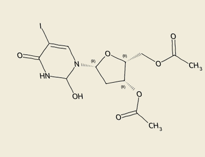 CC(=O)OC[C@H]1O[C@@H](N2C=C(I)C(=O)NC2O)C[C@H]1OC(C)=O